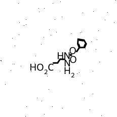 NC(CCCC(=O)O)NC(=O)OCc1ccccc1